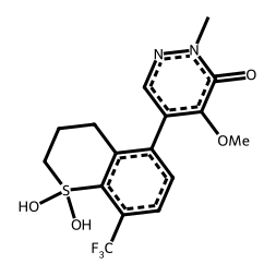 COc1c(-c2ccc(C(F)(F)F)c3c2CCCS3(O)O)cnn(C)c1=O